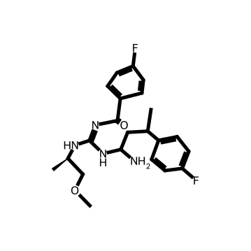 COC[C@@H](C)N/C(=N/C(=O)c1ccc(F)cc1)NC(N)CC(C)c1ccc(F)cc1